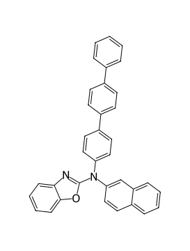 c1ccc(-c2ccc(-c3ccc(N(c4ccc5ccccc5c4)c4nc5ccccc5o4)cc3)cc2)cc1